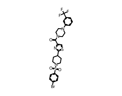 O=C(c1csc(C2CCN(S(=O)(=O)c3ccc(Br)cc3)CC2)n1)N1CCN(c2cccc(C(F)(F)F)c2)CC1